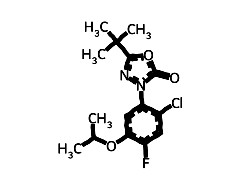 CC(C)Oc1cc(-n2nc(C(C)(C)C)oc2=O)c(Cl)cc1F